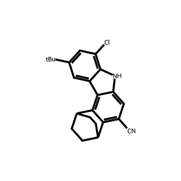 CC(C)(C)c1cc(Cl)c2[nH]c3cc(C#N)c4c(c3c2c1)C1CCC4CC1